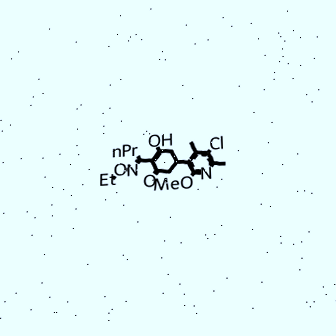 CCCC(=NOCC)C1=C(O)CC(c2c(OC)nc(C)c(Cl)c2C)CC1=O